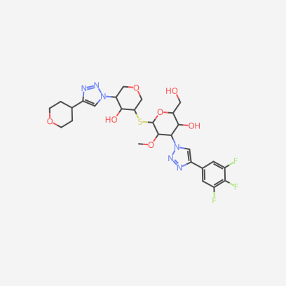 COC1C(SC2COCC(n3cc(C4CCOCC4)nn3)C2O)OC(CO)C(O)C1n1cc(-c2cc(F)c(F)c(F)c2)nn1